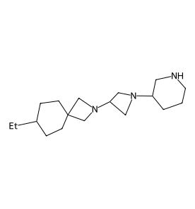 CCC1CCC2(CC1)CN(C1CN(C3CCCNC3)C1)C2